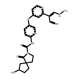 CN/C=C(\C=N)c1cc(Oc2ccc(NC(=O)N3CCC4(CCC(O)C4)C3=O)nc2)ccn1